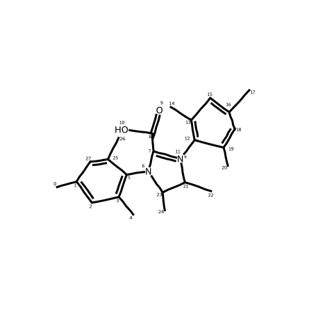 Cc1cc(C)c(N2C(C(=O)O)=[N+](c3c(C)cc(C)cc3C)C(C)C2C)c(C)c1